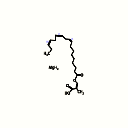 CC/C=C\C/C=C\C/C=C\CCCCCCCC(=O)OC=C(C)C(=O)O.[MgH2]